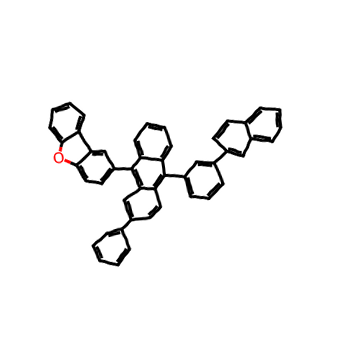 c1ccc(-c2ccc3c(-c4cccc(-c5ccc6ccccc6c5)c4)c4ccccc4c(-c4ccc5oc6ccccc6c5c4)c3c2)cc1